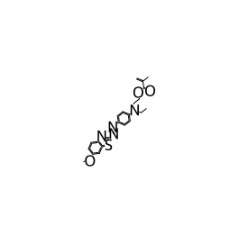 C=C(C)C(=O)OCCN(CC)c1ccc(/N=N/c2nc3ccc(OC)cc3s2)cc1